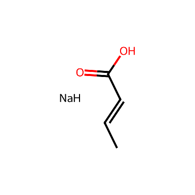 CC=CC(=O)O.[NaH]